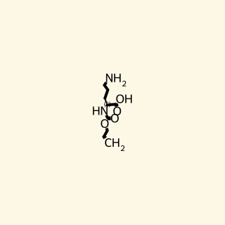 C=CCOC(=O)N[C@@H](CCCN)C(=O)O